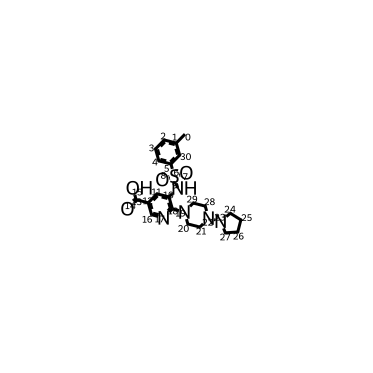 Cc1cccc(S(=O)(=O)Nc2cc(C(=O)O)cnc2N2CCN(N3CCCC3)CC2)c1